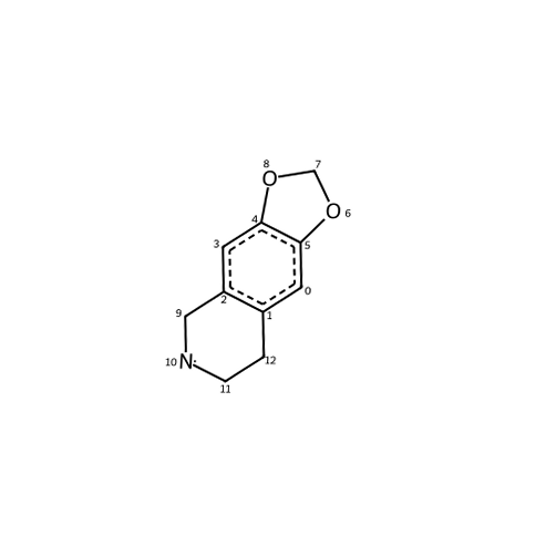 c1c2c(cc3c1OCO3)C[N]CC2